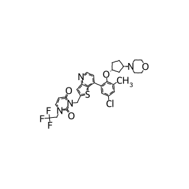 Cc1cc(Cl)cc(-c2ccnc3cc(Cn4c(=O)ccn(CC(F)(F)F)c4=O)sc23)c1O[C@@H]1CC[C@@H](N2CCOCC2)C1